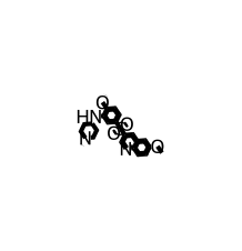 COc1ccc2ncc(S(=O)(=O)c3ccc(OC)c(NC4CCN(C)CC4)c3)cc2c1